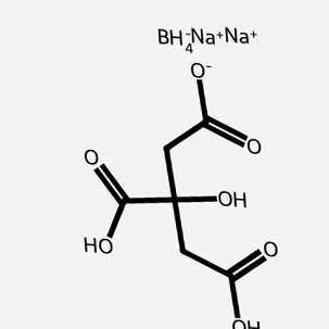 O=C([O-])CC(O)(CC(=O)O)C(=O)O.[BH4-].[Na+].[Na+]